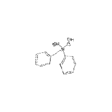 CC(C)(C)[Si](OO)(c1ccccc1)c1ccccc1